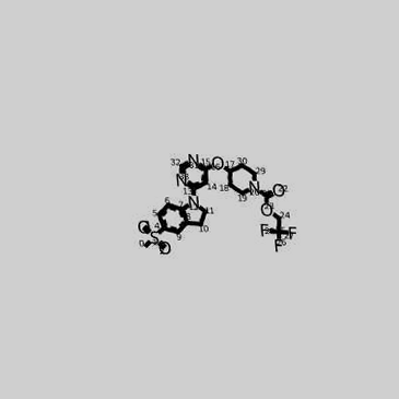 CS(=O)(=O)c1ccc2c(c1)CCN2c1cc(OC2CCN(C(=O)OCC(F)(F)F)CC2)ncn1